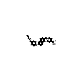 CCCOCC1CCC(Oc2ccc3cc(CN4CCC(C(=O)O)CC4)ccc3c2)CC1